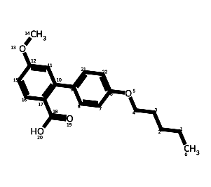 CCCCCOc1ccc(-c2cc(OC)ccc2C(=O)O)cc1